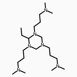 CCC1N(CCCN(C)C)CN(CCCN(C)C)CN1CCCN(C)C